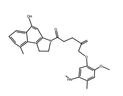 C=C(CCC(=O)N1CCc2c1cc(O)c1cccc(C)c21)COc1cc(NC)c(C)cc1OC